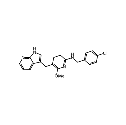 COC1=C(Cc2c[nH]c3ncccc23)CCC(NCc2ccc(Cl)cc2)=N1